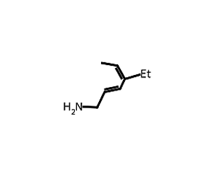 CC=C(C=CCN)CC